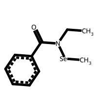 CCN([Se]C)C(=O)c1ccccc1